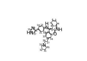 O=C1Nc2ccccc2C1=C(Nc1ccc(-c2c[nH]cn2)cc1)c1ccc(CCN2CCCC2)cc1